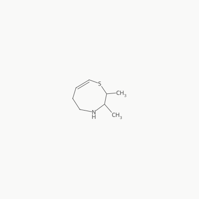 CC1NCC/C=C\SC1C